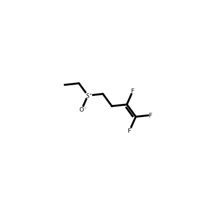 CC[S+]([O-])CCC(F)=C(F)F